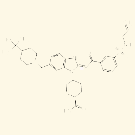 C=CCNS(=O)(=O)c1cccc(C(=O)/C=C2\Nc3ccc(CN4CCC(C(C)(C)O)CC4)cc3N2[C@H]2CC[C@H](C(N)=O)CC2)c1